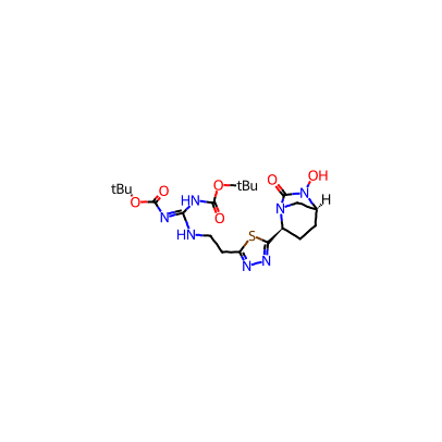 CC(C)(C)OC(=O)/N=C(/NCCc1nnc([C@@H]2CC[C@H]3CN2C(=O)N3O)s1)NC(=O)OC(C)(C)C